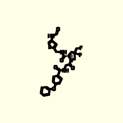 O=CNc1csc(CNC(=O)[C@@H]2C[C@](F)(CF)CN2C(=O)CNC(=O)c2ccc(Oc3ccccc3)cc2)c1